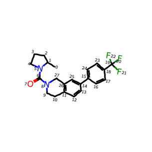 CC1CCCN1C(=O)N1CCc2ccc(-c3ccc(C(F)(F)F)cc3)cc2C1